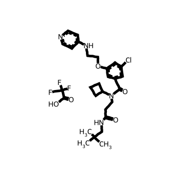 CC(C)(C)CNC(=O)CCN(C(=O)c1cc(Cl)cc(OCCNc2ccncc2)c1)C1CCC1.O=C(O)C(F)(F)F